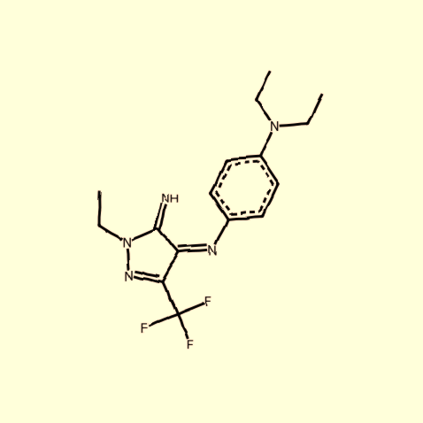 CCN1N=C(C(F)(F)F)C(=Nc2ccc(N(CC)CC)cc2)C1=N